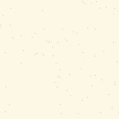 C[S+]([O-])c1nc(N)c(C#N)c(-c2ccccc2F)c1C#N